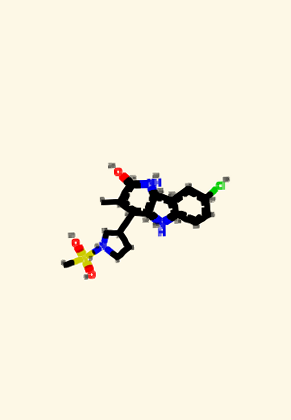 Cc1c(C2CCN(S(C)(=O)=O)C2)c2[nH]c3ccc(Cl)cc3c2[nH]c1=O